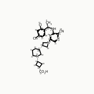 C[C@@H](Nc1nc(N2CC([C@H]3CCCN([C@H]4C[C@@H](C(=O)O)C4)C3)C2)cnc1C#N)c1ccc(Cl)cc1Cl